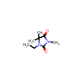 CCN1C(=O)N(C)C(=O)C1(C)C